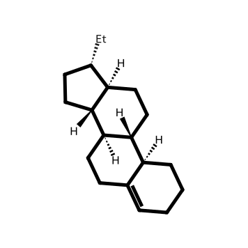 CC[C@H]1CC[C@H]2[C@@H]3CCC4=CCCC[C@@H]4[C@H]3CC[C@H]12